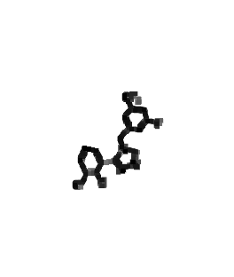 Fc1cc(Cn2cnnc2-c2cccc(Cl)c2Cl)cc(C(F)(F)F)c1